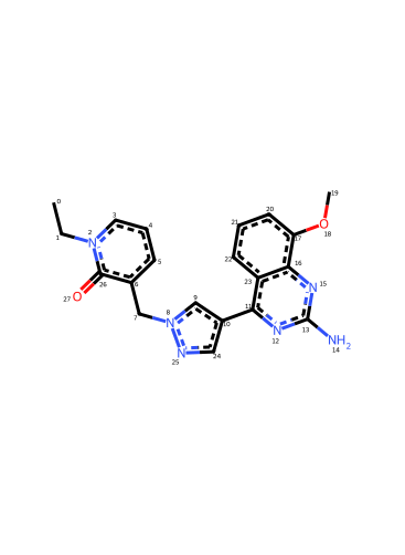 CCn1cccc(Cn2cc(-c3nc(N)nc4c(OC)cccc34)cn2)c1=O